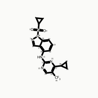 O=S(=O)(C1CC1)n1ncc2c(Nc3ncc(C(F)(F)F)c(C4CC4)n3)cccc21